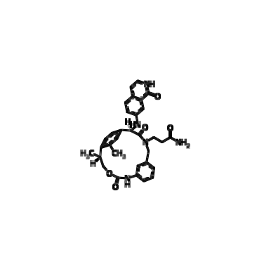 Cc1cc2ccc1[C@@H](C)COC(=O)Nc1cccc(c1)CN(CCC(N)=O)C(=O)[C@@H]2Nc1ccc2cc[nH]c(=O)c2c1